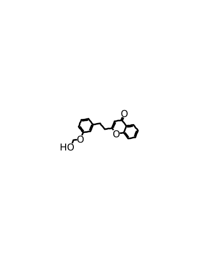 O=c1cc(CCc2cccc(OCO)c2)oc2ccccc12